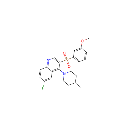 COc1cccc(S(=O)(=O)c2cnc3ccc(F)cc3c2N2CCC(C)CC2)c1